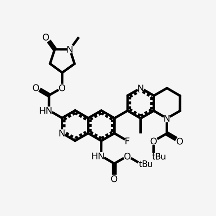 Cc1c(-c2cc3cc(NC(=O)OC4CC(=O)N(C)C4)ncc3c(NC(=O)OC(C)(C)C)c2F)cnc2c1N(C(=O)OC(C)(C)C)CCC2